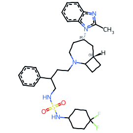 Cc1nc2ccccc2n1[C@H]1CCN(CCC(CNS(=O)(=O)NC2CCC(F)(F)CC2)c2ccccc2)C2CC[C@H]2C1